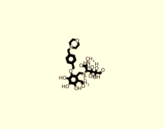 CNC(=O)C(N(C)Cc1c(C=O)c(O)c(O)c(O)c1OCc1ccc(CN2CCOCC2)cc1)C(O)(O)C(O)(O)C=O